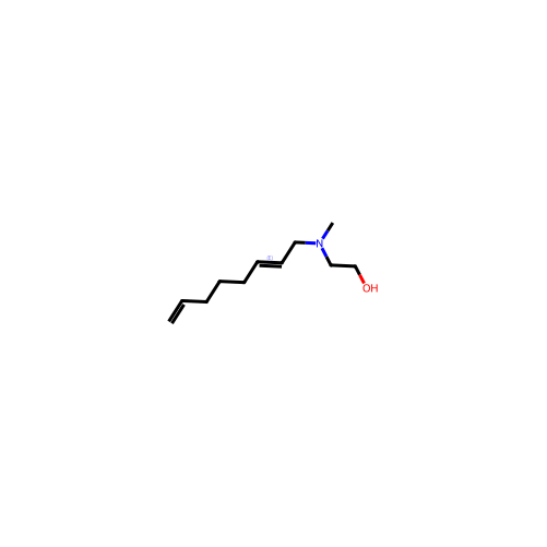 C=CCCC/C=C/CN(C)CCO